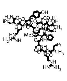 CSCC[C@H](NC(=O)[C@H](CO)NC(=O)[C@H](CCCNC(=N)N)NC(=O)[C@@H](C)CC(C)C)C(=O)N1CCC[C@H]1C(=O)N[C@H](C(=O)N[C@@H](CC(=O)O)C(=O)N[C@@H](CCCCN)C(=O)N[C@@H](Cc1ccc(O)cc1)C(=O)N[C@@H](CCCNC(=N)N)C(=O)N[C@@H](CC(C)C)C(N)=O)[C@@H](C)O